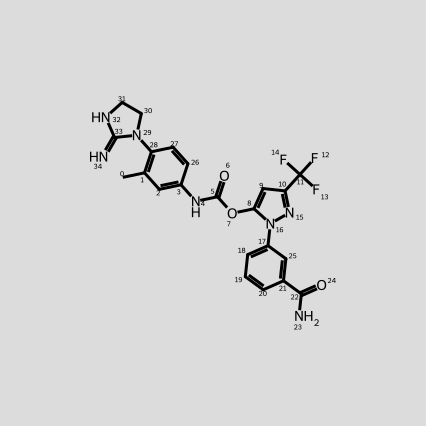 Cc1cc(NC(=O)Oc2cc(C(F)(F)F)nn2-c2cccc(C(N)=O)c2)ccc1N1CCNC1=N